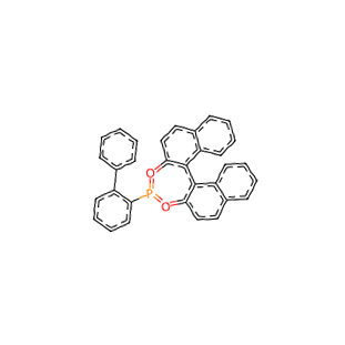 c1ccc(-c2ccccc2-p2oc3ccc4ccccc4c3c3c(ccc4ccccc43)o2)cc1